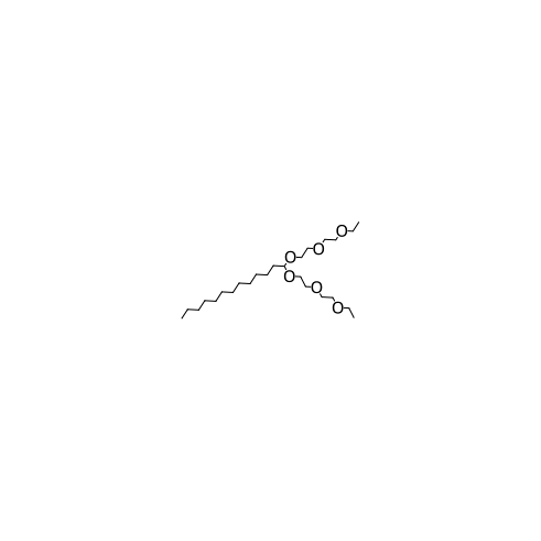 CCCCCCCCCCCCC(OCCOCCOCC)OCCOCCOCC